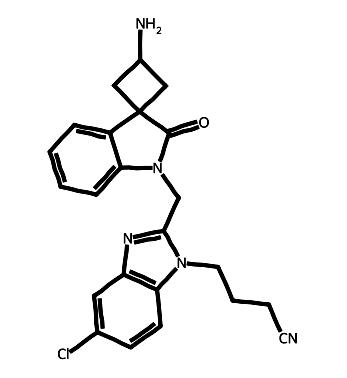 N#CCCCn1c(CN2C(=O)C3(CC(N)C3)c3ccccc32)nc2cc(Cl)ccc21